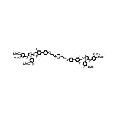 COc1cc(-n2c(N(C)c3ccc(OC)c(OC)c3)cnc2SCc2c(F)cc(-c3ccc(OCCCN4CCN(CCCOc5ccc(-c6cc(F)c(CSc7ncc(N(C)c8ccc(OC)c(OC)c8)n7-c7ccc(F)c(OC)c7)c(F)c6)cc5)CC4)cc3)cc2F)ccc1F